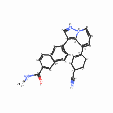 CNC(=O)c1ccc2cc(-c3cnn4cccc(C5=CCC(C#N)CC5)c34)ccc2c1